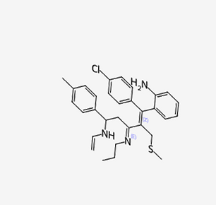 C=CNC(CC(=N\CCC)/C(CSC)=C(\c1ccc(Cl)cc1)c1ccccc1N)c1ccc(C)cc1